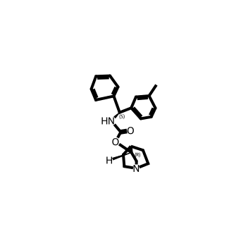 Cc1cccc([C@@H](NC(=O)O[C@H]2CN3CCC2CC3)c2ccccc2)c1